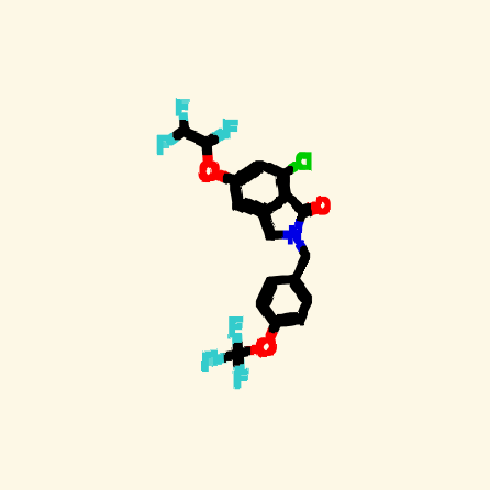 O=C1c2c(Cl)cc(OC(F)C(F)F)cc2CN1Cc1ccc(OC(F)(F)F)cc1